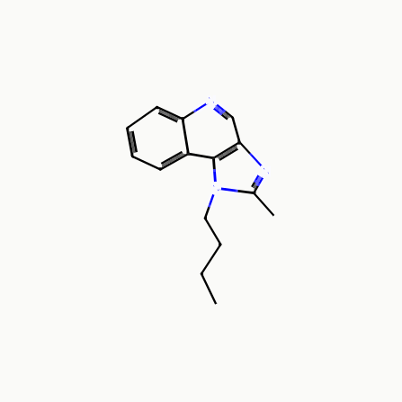 [CH2]CCCn1c(C)nc2cnc3ccccc3c21